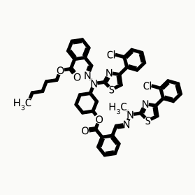 CCCCCOC(=O)c1ccccc1/C=N/N(c1nc(-c2ccccc2Cl)cs1)C1CCCC(OC(=O)c2ccccc2/C=N/N(C)c2nc(-c3ccccc3Cl)cs2)C1